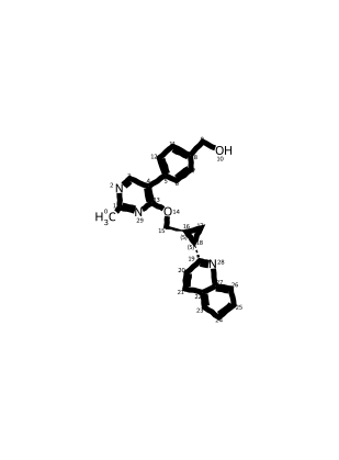 Cc1ncc(-c2ccc(CO)cc2)c(OC[C@H]2C[C@@H]2c2ccc3ccccc3n2)n1